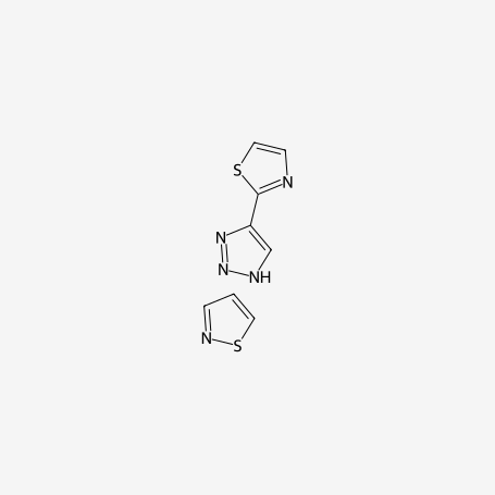 c1cnsc1.c1csc(-c2c[nH]nn2)n1